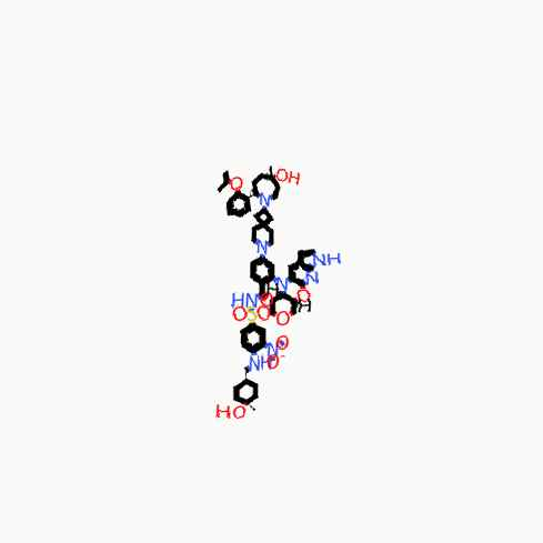 CC(C)Oc1ccccc1[C@@H]1CC[C@](C)(O)CCN1C1CC2(CCN(c3ccc(C(=O)NS(=O)(=O)c4ccc(NC[C@H]5CC[C@](C)(O)CC5)c([N+](=O)[O-])c4)c(N4c5cc6cc[nH]c6nc5O[C@H]5COCC[C@@H]54)c3)CC2)C1